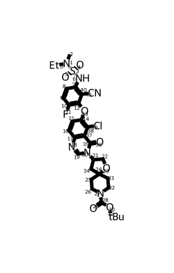 CCN(C)S(=O)(=O)Nc1ccc(F)c(Oc2ccc3ncn(C4COC5(CCN(C(=O)OC(C)(C)C)CC5)C4)c(=O)c3c2Cl)c1C#N